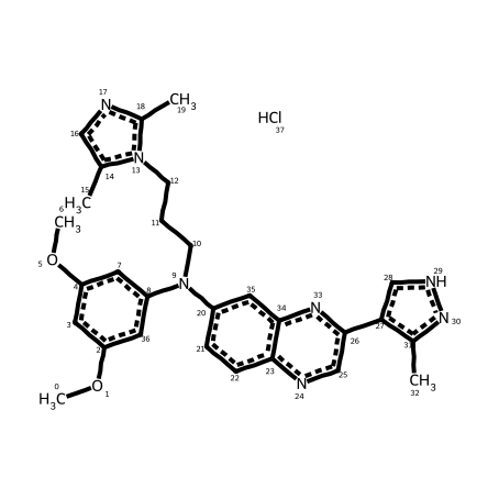 COc1cc(OC)cc(N(CCCn2c(C)cnc2C)c2ccc3ncc(-c4c[nH]nc4C)nc3c2)c1.Cl